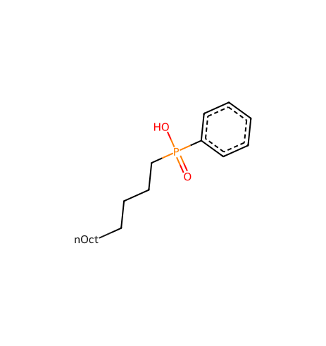 CCCCCCCCCCCCP(=O)(O)c1ccccc1